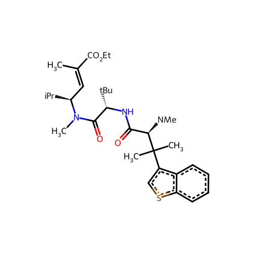 CCOC(=O)/C(C)=C/[C@H](C(C)C)N(C)C(=O)[C@@H](NC(=O)[C@@H](NC)C(C)(C)c1csc2ccccc12)C(C)(C)C